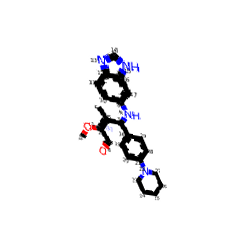 CO/C(C=O)=C(\C)C(Nc1ccc2nc[nH]c2c1)c1ccc(N2CCCCC2)cc1